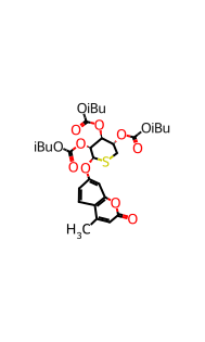 Cc1cc(=O)oc2cc(O[C@@H]3SC[C@@H](OC(=O)OCC(C)C)[C@H](OC(=O)OCC(C)C)[C@H]3OC(=O)OCC(C)C)ccc12